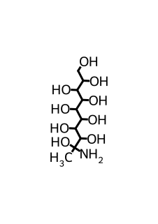 CC(N)(O)C(O)C(O)C(O)C(O)C(O)C(O)C(O)CO